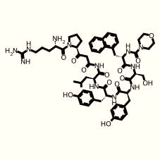 CC(C)C[C@H](NC(=O)[C@@H](Cc1ccc(O)cc1)NC(=O)[C@H](Cc1ccc(O)cc1)NC(=O)[C@H](CO)NC(=O)[C@H](Cc1cccc2ccccc12)NC(=O)N1CCOCC1)C(=O)NC(=O)CC(=O)[C@@H]1CCCN1C(=O)[C@@H](N)CCCNC(=N)N